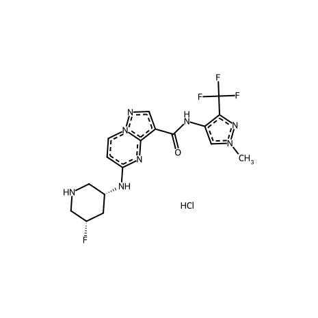 Cl.Cn1cc(NC(=O)c2cnn3ccc(N[C@H]4CNC[C@@H](F)C4)nc23)c(C(F)(F)F)n1